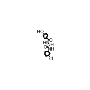 O=C(NNC(=O)c1ccc(O)cc1)Nc1cccc(Cl)c1